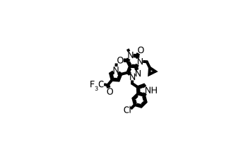 Cn1cc(C(=O)C(F)(F)F)cc1-c1c2c(=O)n(C)c(=O)n(CC3CC3)c2nn1Cc1c[nH]c2ccc(Cl)cc12